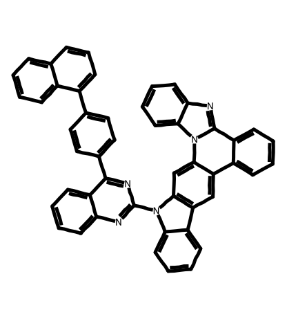 c1ccc2c(-c3ccc(-c4nc(-n5c6ccccc6c6cc7c8ccccc8c8nc9ccccc9n8c7cc65)nc5ccccc45)cc3)cccc2c1